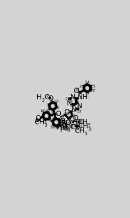 COc1ccc(C(OC[C@H]2O[C@@H](n3cnc4c(NC(=O)c5ccccc5)ncnc43)[C@H](O[Si](C)(C)C(C)(C)C)[C@@H]2OS(=O)(=O)C(F)(F)F)(c2ccccc2)c2ccc(OC)cc2)cc1